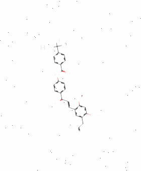 C=CCc1cc(C=CC(=O)c2ccc(OC(=O)c3ccc(C(C)(C)C)cc3)cc2)c(OC)cc1O